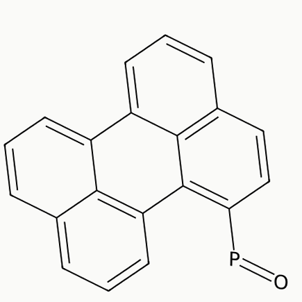 O=Pc1ccc2cccc3c4cccc5cccc(c1c23)c54